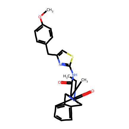 CCN1C(=O)C2CC(C)(C(=O)Nc3nc(Cc4ccc(OC)cc4)cs3)C1c1ccccc12